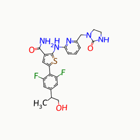 CC(CO)c1cc(F)c(-c2cc(C(N)=O)c(Nc3cccc(CN4CCNC4=O)n3)s2)c(F)c1